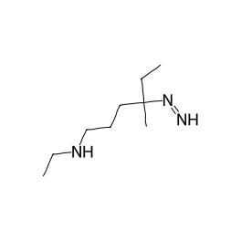 CCNCCCC(C)(CC)N=N